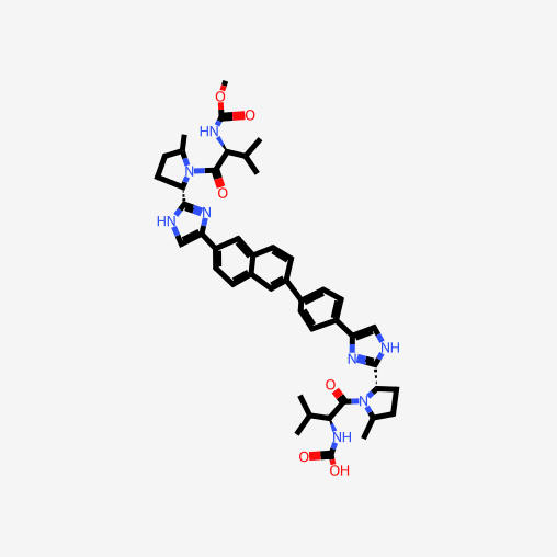 COC(=O)N[C@H](C(=O)N1C(C)CC[C@H]1c1nc(-c2ccc3cc(-c4ccc(-c5c[nH]c([C@@H]6CCC(C)N6C(=O)[C@@H](NC(=O)O)C(C)C)n5)cc4)ccc3c2)c[nH]1)C(C)C